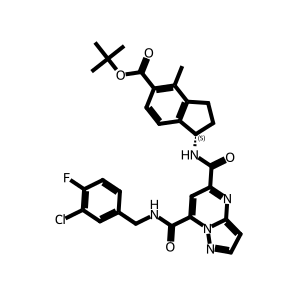 Cc1c(C(=O)OC(C)(C)C)ccc2c1CC[C@@H]2NC(=O)c1cc(C(=O)NCc2ccc(F)c(Cl)c2)n2nccc2n1